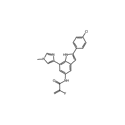 C=C(F)C(=O)Nc1cc(-c2cn(C)cn2)c2[nH]c(-c3ccc(Cl)cc3)cc2c1